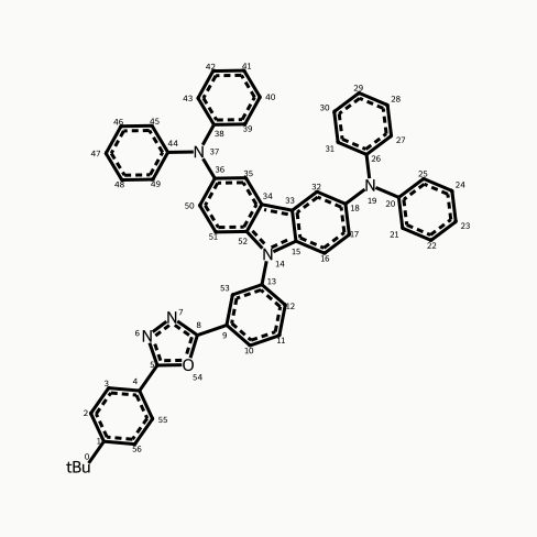 CC(C)(C)c1ccc(-c2nnc(-c3cccc(-n4c5ccc(N(c6ccccc6)c6ccccc6)cc5c5cc(N(c6ccccc6)c6ccccc6)ccc54)c3)o2)cc1